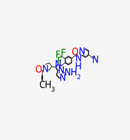 CC#CC(=O)N1CCC(c2nc(-c3ccc(C(=O)Nc4cc(C#N)ccn4)cc3C(F)(F)F)n3c(N)nccc23)C1